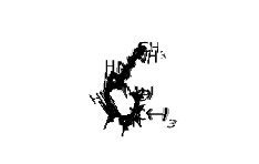 CCNCCNCc1cnc2cc1NC(=O)CC1(CC1)n1c(C)nc3c(F)cc(cc31)-c1nc(ncc1F)N2